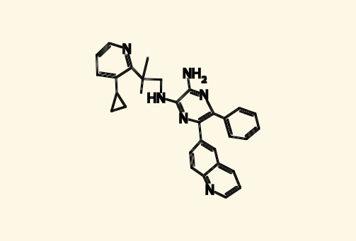 CC(C)(CNc1nc(-c2ccc3ncccc3c2)c(-c2ccccc2)nc1N)c1ncccc1C1CC1